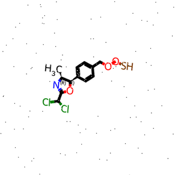 C[C@H]1N=C(C(Cl)Cl)O[C@@H]1c1ccc(COOS)cc1